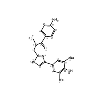 CN(Cc1nc(-c2cc(C(C)(C)C)c(O)c(C(C)(C)C)c2)c[nH]1)C(=O)c1ccc(N)cc1